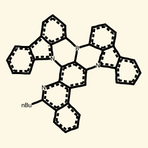 CCCCc1nc2c3c4c(cc2c2ccccc12)-n1c2ccccc2c2cccc(c21)B4c1cccc2c4ccccc4n-3c12